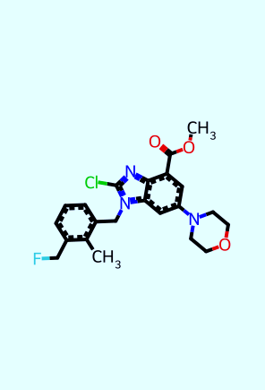 COC(=O)c1cc(N2CCOCC2)cc2c1nc(Cl)n2Cc1cccc(CF)c1C